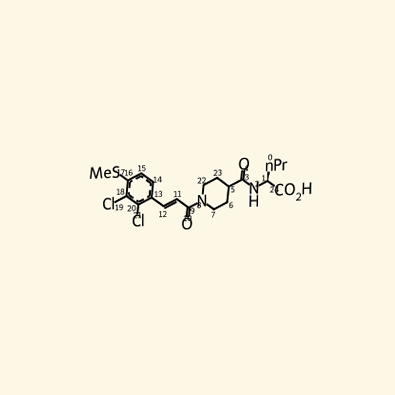 CCC[C@H](NC(=O)C1CCN(C(=O)/C=C/c2ccc(SC)c(Cl)c2Cl)CC1)C(=O)O